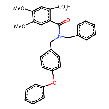 COc1cc(C(=O)O)c(C(=O)N(Cc2ccccc2)Cc2ccc(Oc3ccccc3)cc2)cc1OC